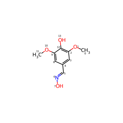 COc1cc(/C=N/O)cc(OC)c1O